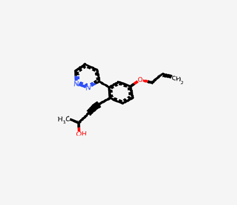 C=CCOc1ccc(C#CC(C)O)c(-c2cccnn2)c1